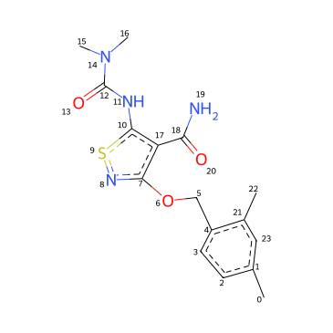 Cc1ccc(COc2nsc(NC(=O)N(C)C)c2C(N)=O)c(C)c1